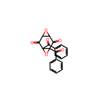 O=C(c1ccccc1)C12OC1(C(=O)c1ccccc1)C(=O)C1OC1C2=O